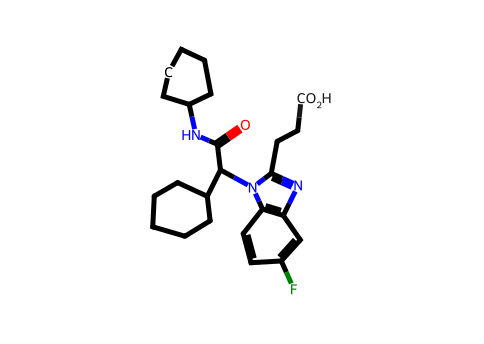 O=C(O)CCc1nc2cc(F)ccc2n1C(C(=O)NC1CCCCC1)C1CCCCC1